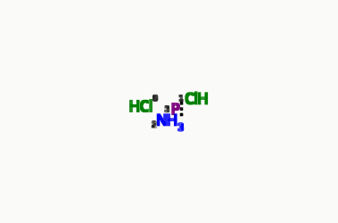 Cl.Cl.N.[P]